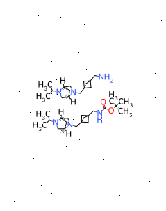 CC(C)N1C[C@@H]2C[C@H]1CN2CC12CC(CN)(C1)C2.CC(C)N1C[C@@H]2C[C@H]1CN2CC12CC(CNC(=O)OC(C)(C)C)(C1)C2